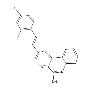 Nc1nc2ccccc2c2cc(C=Cc3ccc(F)cc3F)cnc12